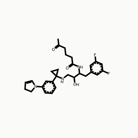 CC(=O)CCCC(=O)NC(Cc1cc(F)cc(F)c1)C(O)CNC1(c2cccc(N3C=CCC3)c2)CC1